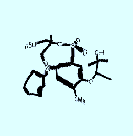 CCCCC1(C)CN(c2ccccc2)c2cc(SC)c(OC(C)C(C)(C)O)cc2S(=O)(=O)C1